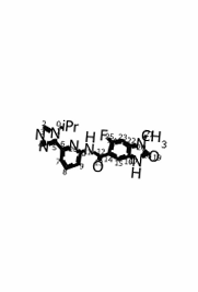 CC(C)n1cnnc1-c1cccc(NC(=O)c2cc3[nH]c(=O)n(C)c3cc2F)n1